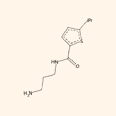 CC(C)c1ccc(C(=O)NCCCN)s1